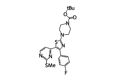 CSc1nccc(-c2sc(N3CCN(C(=O)OC(C)(C)C)CC3)nc2-c2ccc(F)cc2)n1